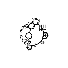 C[C@H]1Nc2ncnc3c2cc(C2CCS(=O)(=O)CC2)c(=O)n3CCCCCCCN2C3CCC2CC(C3)C(F)(F)c2cccc1c2F